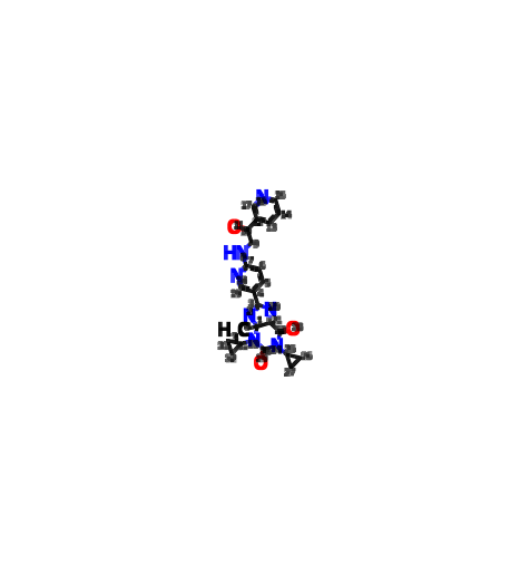 CC12N=C(c3ccc(NCC(=O)c4cccnc4)nc3)N=C1C(=O)N(C1CC1)C(=O)N2C1CC1